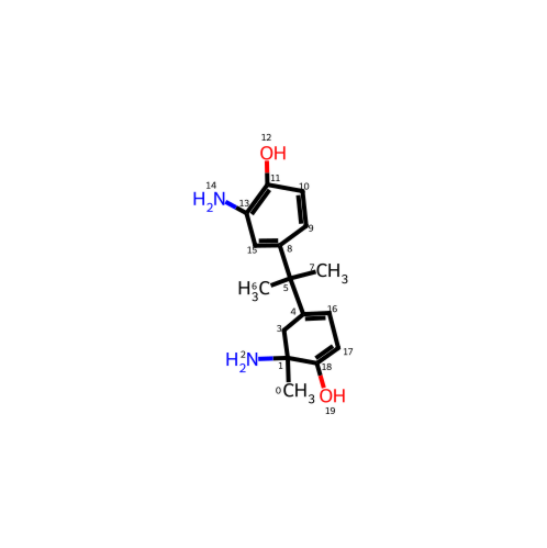 CC1(N)CC(C(C)(C)c2ccc(O)c(N)c2)=CC=C1O